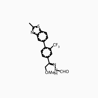 COC/C(=N\NC=O)c1ccc(-c2ccc3sc(C)nc3c2)c(C(F)(F)F)c1